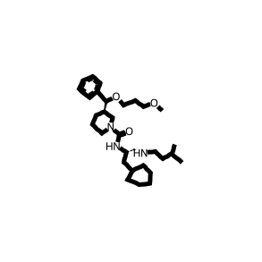 COCCCOC(c1ccccc1)[C@@H]1CCCN(C(=O)N[C@H](CNCCC(C)C)CC2CCCCC2)C1